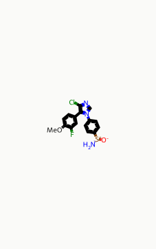 COc1ccc(-c2c(Cl)ncn2-c2ccc([S+](N)[O-])cc2)cc1F